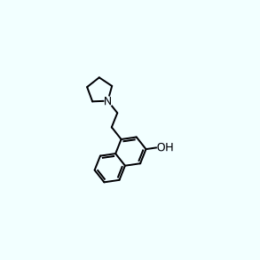 Oc1cc(CCN2CCCC2)c2ccccc2c1